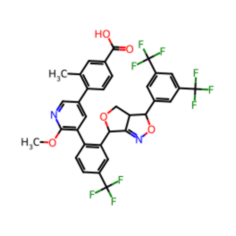 COc1ncc(-c2ccc(C(=O)O)cc2C)cc1-c1ccc(C(F)(F)F)cc1C1OCC2C1=NOC2c1cc(C(F)(F)F)cc(C(F)(F)F)c1